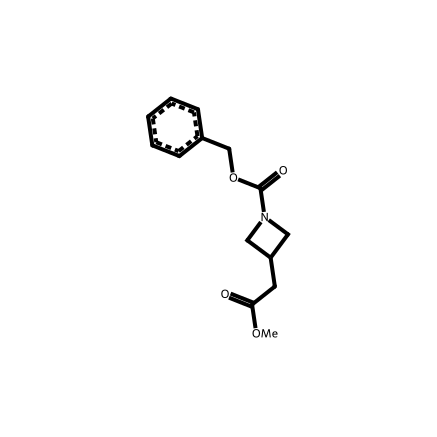 COC(=O)CC1CN(C(=O)OCc2ccccc2)C1